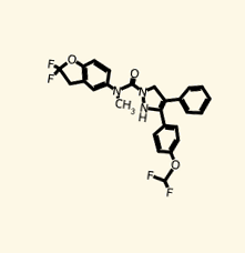 CN(C(=O)N1CC(c2ccccc2)=C(c2ccc(OC(F)F)cc2)N1)c1ccc2c(c1)CC(F)(F)O2